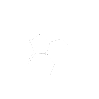 CCC1CSC(=S)N1CC